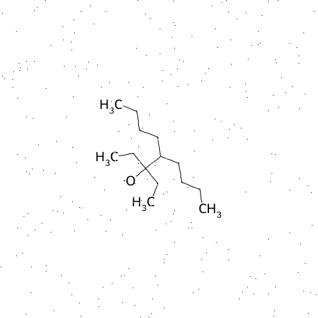 CCCCC(CCCC)C([O])(CC)CC